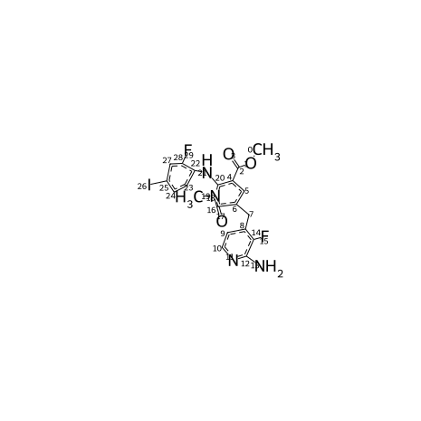 COC(=O)c1cc(Cc2ccnc(N)c2F)c(=O)n(C)c1Nc1ccc(I)cc1F